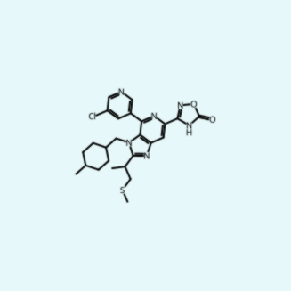 CSCC(C)c1nc2cc(-c3noc(=O)[nH]3)nc(-c3cncc(Cl)c3)c2n1CC1CCC(C)CC1